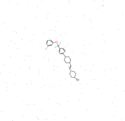 CCC1CCC(/C=C/C2CCC(c3ccc(C(F)(F)Oc4cccc(F)c4)cc3)CC2)CC1